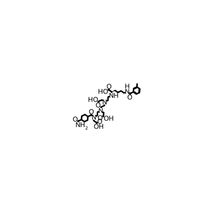 Cc1cccc(C(=O)NCCCC[C@@H](NCCN(CCN(CCN(CC(=O)O)C(=O)C2CCC(C(N)=O)CC2)CC(=O)O)CC(=O)O)C(=O)O)c1